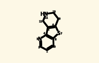 [c]1ccnc2c3c(sc12)CCNC3